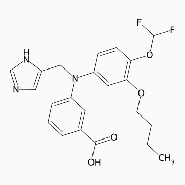 CCCCOc1cc(N(Cc2cnc[nH]2)c2cccc(C(=O)O)c2)ccc1OC(F)F